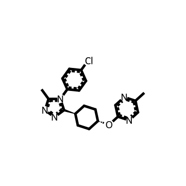 Cc1cnc(O[C@H]2CC[C@H](c3nnc(C)n3-c3ccc(Cl)cc3)CC2)cn1